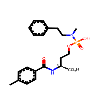 Cc1ccc(C(=O)N[C@@H](CCOP(=O)(O)N(C)CCc2ccccc2)C(=O)O)cc1